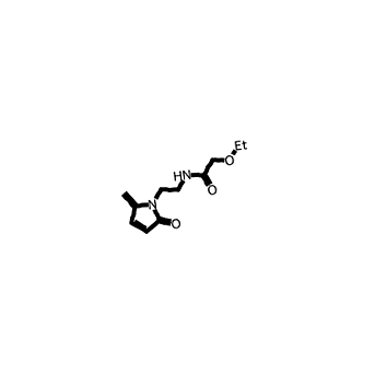 C=C1C=CC(=O)N1CCNC(=O)COCC